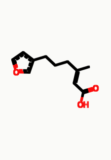 CC(=CC(=O)O)CCCc1ccoc1